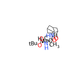 COC(=O)[C@]12CC3CC(C1)[C@H](NC(=O)C(C)(C)NC(=O)OC(C)(C)C)C(C3)C2